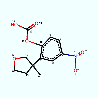 CC1(c2cc([N+](=O)[O-])ccc2OC(=O)O)CCOC1